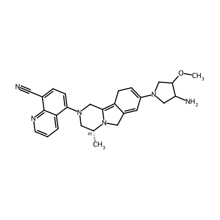 COC1CN(C2=CCC3=C4CN(c5ccc(C#N)c6ncccc56)C[C@@H](C)N4CC3=C2)CC1N